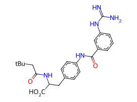 CC(C)(C)CC(=O)NC(Cc1ccc(NC(=O)c2cccc(NC(=N)N)c2)cc1)C(=O)O